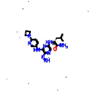 CC(C)C[C@@H](Nc1cnc(N=N)c(Nc2ccc(N3CCC3)nc2)n1)C(N)=O